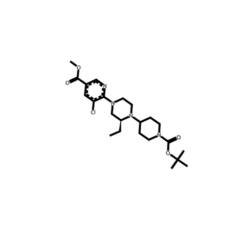 CC[C@H]1CN(c2ncc(C(=O)OC)cc2Cl)CCN1C1CCN(C(=O)OC(C)(C)C)CC1